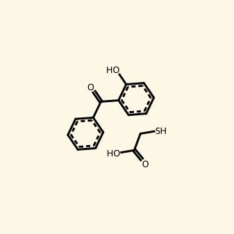 O=C(O)CS.O=C(c1ccccc1)c1ccccc1O